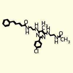 CC(=O)NCCNc1nc(-c2ccc(Cl)cc2)nc(NCCNC(=O)C=CC=Cc2ccccc2)c1C